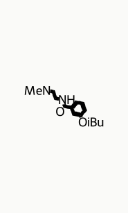 CNCCNC(=O)c1cccc(OCC(C)C)c1